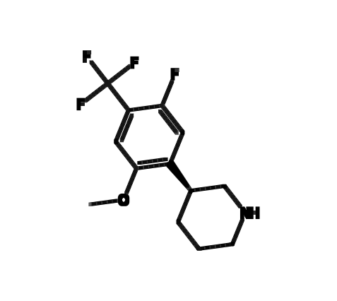 COc1cc(C(F)(F)F)c(F)cc1[C@@H]1CCCNC1